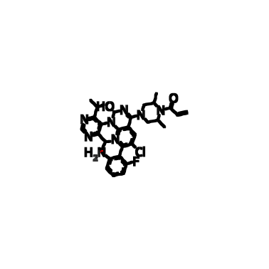 C=CC(=O)N1C(C)CN(C2=NC(O)N(c3c(C(C)C)ncnc3C(C)C)c3nc(-c4c(N)cccc4F)c(Cl)cc32)CC1C